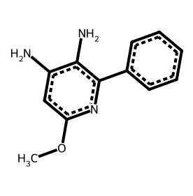 COc1cc(N)c(N)c(-c2ccccc2)n1